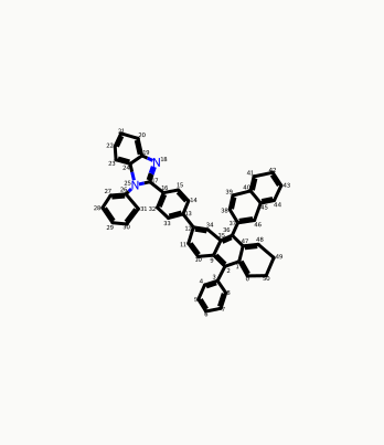 C1=c2c(-c3ccccc3)c3ccc(-c4ccc(-c5nc6ccccc6n5-c5ccccc5)cc4)cc3c(-c3ccc4ccccc4c3)c2=CCC1